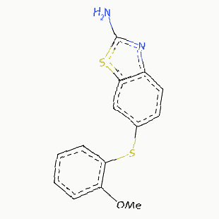 COc1ccccc1Sc1ccc2nc(N)sc2c1